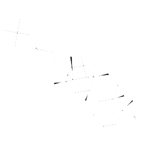 CC(C)(C)OC(=O)NC[C@H]1[C@H]2CC[C@@]3(CC[C@H]4[C@@](C)(CCC[C@@]4(C)C(=O)O)[C@@H]3C2)[C@@H]1O